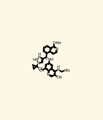 COc1nccc2c([C@H](Nc3cc(Cl)c4ncc(C#N)c(NCC(C)(C)C)c4c3)C3=CN(C4(C(F)(F)F)CC4)NN3)cccc12